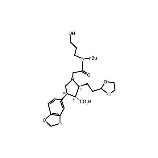 CCCCN(CCCO)C(=O)CN1C[C@H](c2ccc3c(c2)OCO3)[C@@H](C(=O)O)[C@@H]1CCC1OCCO1